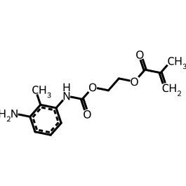 C=C(C)C(=O)OCCOC(=O)Nc1cccc(N)c1C